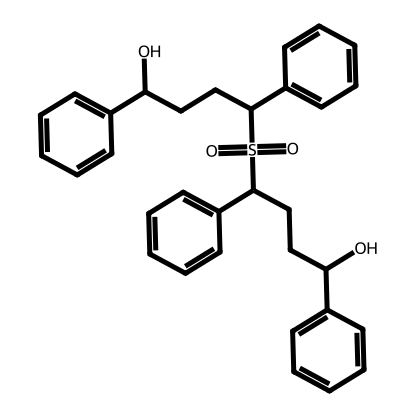 O=S(=O)(C(CCC(O)c1ccccc1)c1ccccc1)C(CCC(O)c1ccccc1)c1ccccc1